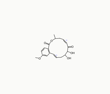 COc1ccc2c(c1)/C=C/CC(O)C(O)C(=O)/C=C\CC(C)OC2=O